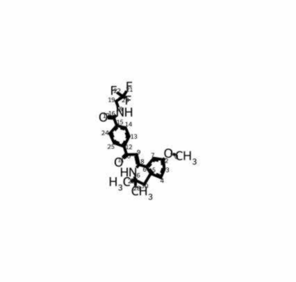 COc1ccc2c(c1)/C(=C/C(=O)c1ccc(C(=O)NCC(F)(F)F)cc1)NC(C)(C)C2